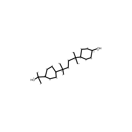 CC(C)(O)C1CCC(C(C)(C)CCC(C)(C)C2CCC(O)CC2)CC1